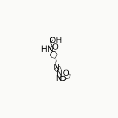 O=C(CO)N[C@H]1CC[C@H](CCN2CCN(c3nccc4c3OCC4)CC2)CC1